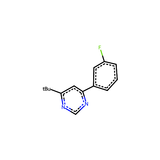 CC(C)(C)c1cc(-c2cccc(F)c2)ncn1